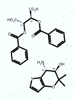 CC1(C)Oc2ccsc2[C@H](N)[C@H]1O.O=C(O[C@H](C(=O)O)[C@H](OC(=O)c1ccccc1)C(=O)O)c1ccccc1